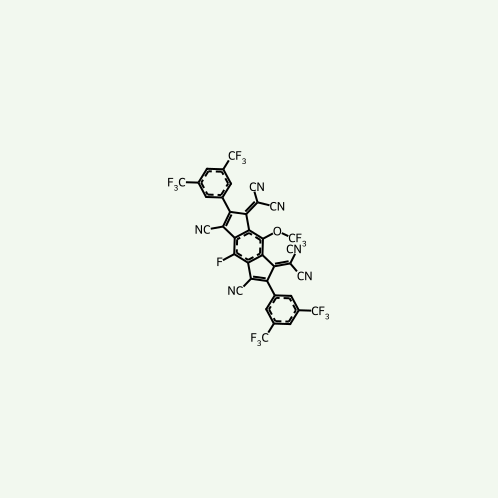 N#CC(C#N)=C1C(c2cc(C(F)(F)F)cc(C(F)(F)F)c2)=C(C#N)c2c(F)c3c(c(OC(F)(F)F)c21)C(=C(C#N)C#N)C(c1cc(C(F)(F)F)cc(C(F)(F)F)c1)=C3C#N